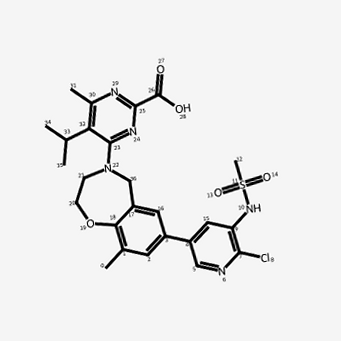 Cc1cc(-c2cnc(Cl)c(NS(C)(=O)=O)c2)cc2c1OCCN(c1nc(C(=O)O)nc(C)c1C(C)C)C2